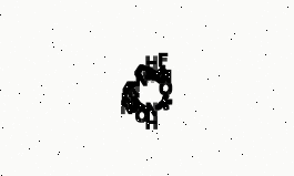 CC1(C)CNC(=O)c2cnn3ccc(nc23)N2CC[C@H]3C[C@]32C2CC(F)=CN=C2OC1